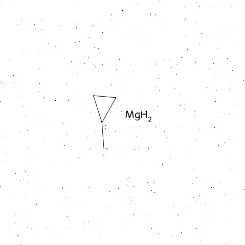 [CH2]C1CC1.[MgH2]